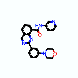 O=C(Nc1cccnc1)c1cccc2cnc(-c3cccc(N4CCOCC4)c3)nc12